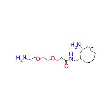 NCCOCCOCCC(=O)NCC1CCCCCCC(N)C1